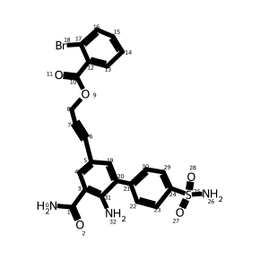 NC(=O)c1cc(C#CCOC(=O)c2ccccc2Br)cc(-c2ccc(S(N)(=O)=O)cc2)c1N